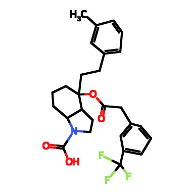 Cc1cccc(CCC2(OC(=O)Cc3cccc(C(F)(F)F)c3)CCCC3C2CCN3C(=O)O)c1